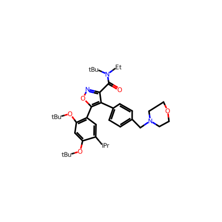 CCN(C(=O)c1noc(-c2cc(C(C)C)c(OC(C)(C)C)cc2OC(C)(C)C)c1-c1ccc(CN2CCOCC2)cc1)C(C)(C)C